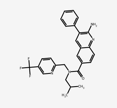 CC(C)CN(Cc1ccc(C(F)(F)F)cn1)C(=O)c1ccc2nc(N)c(-c3ccccc3)cc2c1